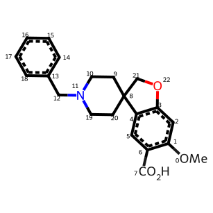 COc1cc2c(cc1C(=O)O)C1(CCN(Cc3ccccc3)CC1)CO2